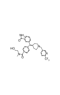 CN(CCO)C(=O)c1ccc(C(=C2CCN(Cc3ccc(C(F)(F)F)nc3)CC2)c2cccc(C(N)=O)c2)cc1